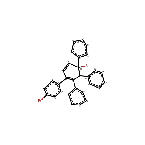 Brc1ccc(C2=C(c3ccccc3)C(c3ccccc3)C(Br)(c3ccccc3)C=C2)cc1